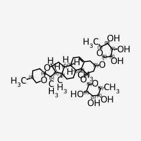 C[C@H]1CC[C@@]2(OC1)O[C@H]1C[C@H]3[C@@H]4CC=C5C[C@@H](O[C@@H]6O[C@@H](C)[C@H](O)[C@@H](O)[C@H]6O)C[C@@H](O[C@@H]6O[C@H](C)[C@H](O)[C@H](O)[C@H]6O)[C@]5(C)[C@H]4CC[C@]3(C)[C@H]1[C@@H]2C